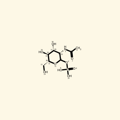 CC(=O)N[C@@H]1C(OP(=O)(O)O)O[C@H](CO)[C@@H](O)[C@@H]1O